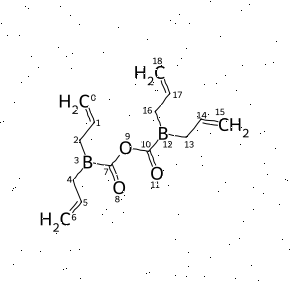 C=CCB(CC=C)C(=O)OC(=O)B(CC=C)CC=C